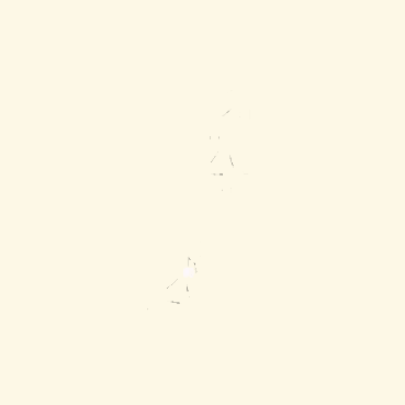 CCc1cc(OCC=C(Cl)Cl)cc(CC)c1OCCCCCO/N=C/c1ccc(Cl)cc1